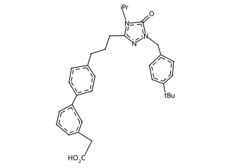 CC(C)n1c(CCCc2ccc(-c3cccc(CC(=O)O)c3)cc2)nn(Cc2ccc(C(C)(C)C)cc2)c1=O